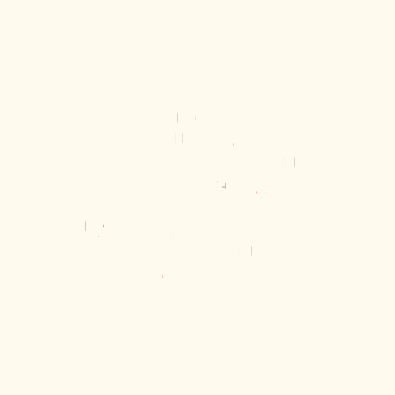 C=CC(=O)C(O)[Si](OC)(OC)OC